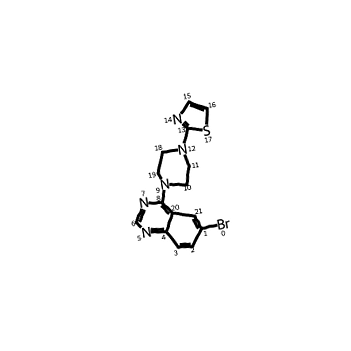 Brc1ccc2ncnc(N3CCN(c4nccs4)CC3)c2c1